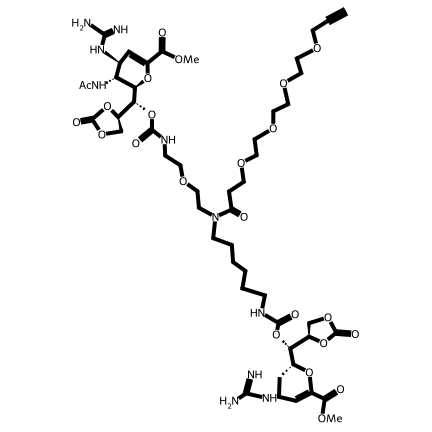 C#CCOCCOCCOCCOCCC(=O)N(CCCCCCNC(=O)O[C@H]([C@H]1COC(=O)O1)[C@H]1C[C@@H](NC(=N)N)C=C(C(=O)OC)O1)CCOCCNC(=O)O[C@@H]([C@@H]1OC(C(=O)OC)=C[C@H](NC(=N)N)[C@H]1NC(C)=O)[C@H]1COC(=O)O1